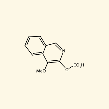 COc1c(OC(=O)O)ncc2ccccc12